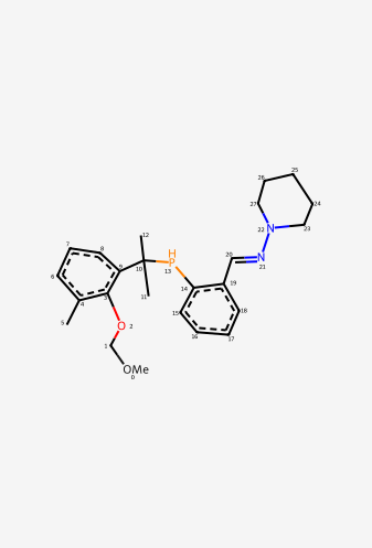 COCOc1c(C)cccc1C(C)(C)Pc1ccccc1/C=N/N1CCCCC1